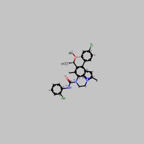 Cc1c([C@H](OC(C)(C)C)C(=O)O)c(-c2ccc(Cl)cc2)c2cc(C)n3c2c1N(C(=O)Nc1ccccc1Br)CC3